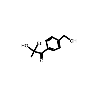 CCC(C)(O)C(=O)c1ccc(CO)cc1